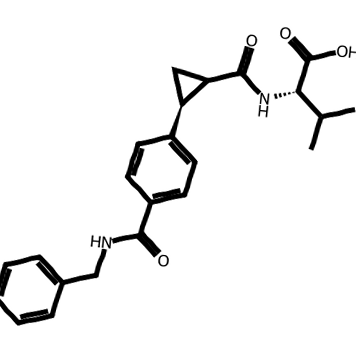 CC(C)[C@H](NC(=O)C1C[C@@H]1c1ccc(C(=O)NCc2ccccc2)cc1)C(=O)O